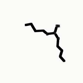 CCCCOP(S)SCCCC